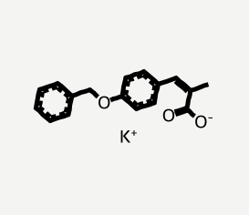 CC(=Cc1ccc(OCc2ccccc2)cc1)C(=O)[O-].[K+]